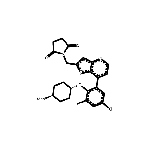 CN[C@H]1CC[C@H](Oc2c(C)cc(Cl)cc2-c2ccnc3cc(CN4C(=O)CCC4=O)sc23)CC1